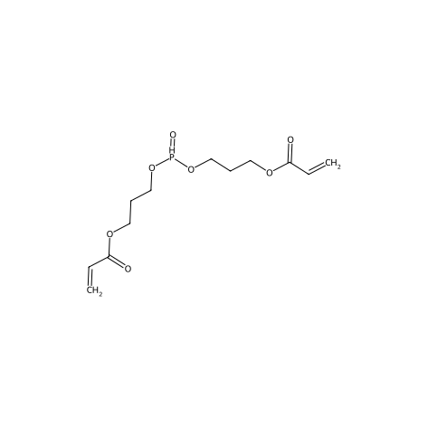 C=CC(=O)OCCCO[PH](=O)OCCCOC(=O)C=C